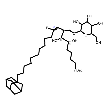 CCCCCCCCCCCCCC[C@@H](O)[C@@H](O)[C@@H](/C=C(/F)CCCCCCCCCCC12CC3CC(CC(C3)C1)C2)COC1OC(CO)C(O)C(O)C1O